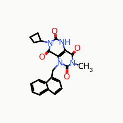 Cn1c(=O)c2[nH]c(=O)n(C3CCC3)c(=O)c2n(Cc2cccc3ccccc23)c1=O